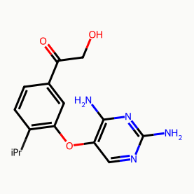 CC(C)c1ccc(C(=O)CO)cc1Oc1cnc(N)nc1N